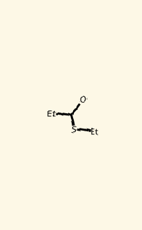 CCSC([O])CC